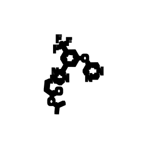 CC(C)OC(=O)/C=C\n1cnc(-c2cc(Oc3cncnc3)cc(C(F)(F)F)c2)n1